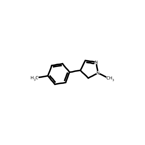 Cc1ccc(C2C=NN(C)C2)cc1